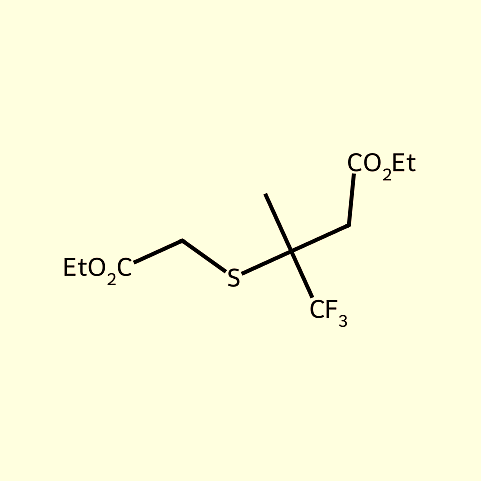 CCOC(=O)CSC(C)(CC(=O)OCC)C(F)(F)F